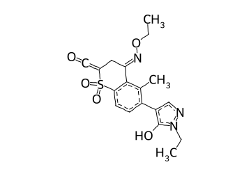 CCON=C1CC(=C=O)S(=O)(=O)c2ccc(-c3cnn(CC)c3O)c(C)c21